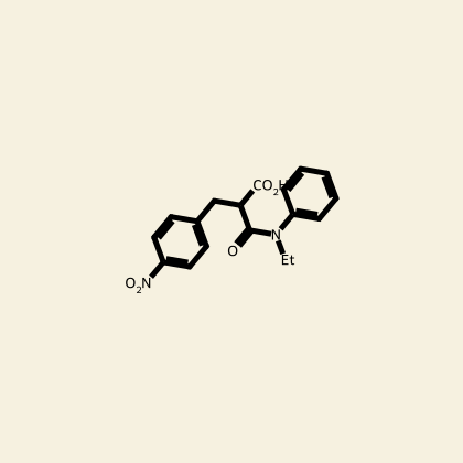 CCN(C(=O)C(Cc1ccc([N+](=O)[O-])cc1)C(=O)O)c1ccccc1